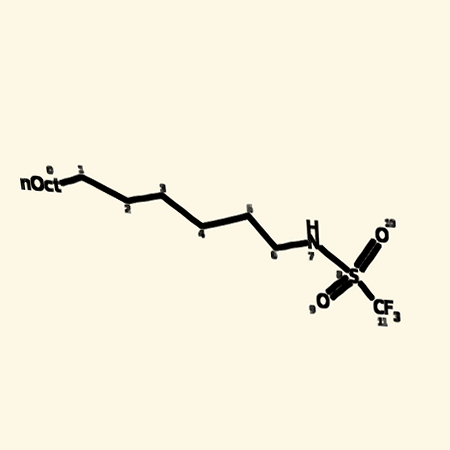 CCCCCCCCCCCCCCNS(=O)(=O)C(F)(F)F